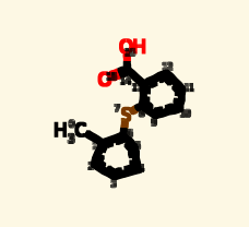 Cc1ccccc1Sc1ccccc1C(=O)O